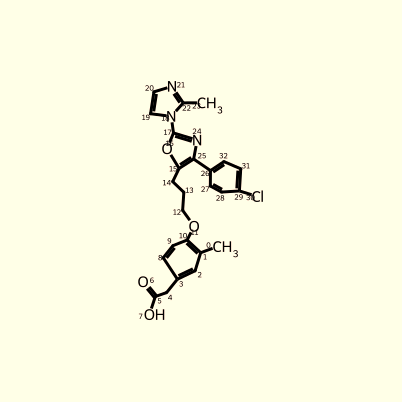 Cc1cc(CC(=O)O)ccc1OCCCc1oc(-n2ccnc2C)nc1-c1ccc(Cl)cc1